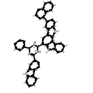 c1ccc(C2N=C(c3ccc4c(c3)oc3ccccc34)NC(c3cc4c5cc(-c6cccc7ccccc67)ccc5oc4c4c3sc3ccccc34)N2)cc1